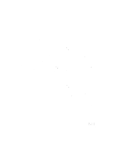 Nc1ccc(Nc2cccc3nc(-c4ccsc4)c(-c4ccsc4)nc23)cc1